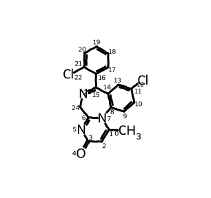 Cc1cc(=O)nc2n1-c1ccc(Cl)cc1C(c1ccccc1Cl)=NC2